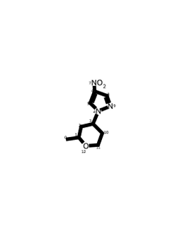 CC1CC(n2cc([N+](=O)[O-])cn2)CCO1